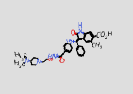 Cc1cc2c(cc1C(=O)O)NC(=O)/C2=C(\Nc1ccc(C(=O)NOCCN2CCC(N(C)C)CC2)cc1)c1ccccc1